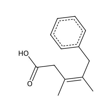 CC(CC(=O)O)=C(C)Cc1ccccc1